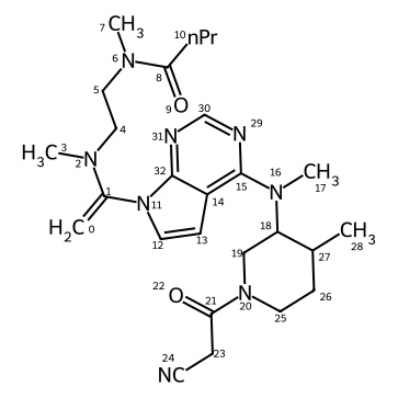 C=C(N(C)CCN(C)C(=O)CCC)n1ccc2c(N(C)C3CN(C(=O)CC#N)CCC3C)ncnc21